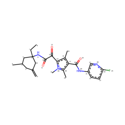 C=C1CC(C)CC(CC)(NC(=O)C(=O)c2c(C)c(C(=O)Nc3ccc(F)nc3)c(C)n2C)C1